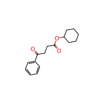 O=C(CCC(=O)c1ccccc1)OC1CCCCC1